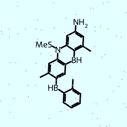 CSN1c2cc(C)c(Bc3ccccc3C)cc2Bc2c(C)cc(N)cc21